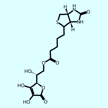 O=C1N[C@H]2CSC(CCCCC(=O)OC[C@@H](O)[C@H]3OC(=O)C(O)=C3O)[C@H]2N1